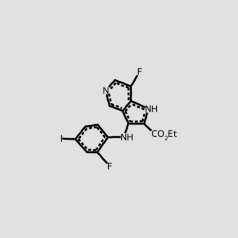 CCOC(=O)c1[nH]c2c(F)cncc2c1Nc1ccc(I)cc1F